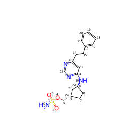 NS(=O)(=O)OC[C@H]1CC[C@H](Nc2cc(CCc3ccccc3)ncn2)C1